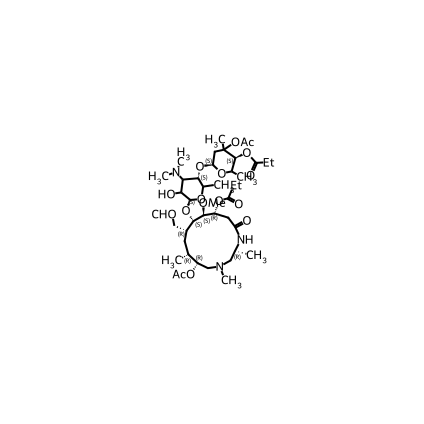 CCC(=O)O[C@@H]1CC(=O)N[C@H](C)CN(C)C[C@H](OC(C)=O)[C@H](C)C[C@H](CC=O)[C@H](O[C@@H]2OC(C)[C@@H](O[C@H]3CC(C)(OC(C)=O)[C@@H](OC(=O)CC)C(C)O3)C(N(C)C)C2O)[C@H]1OC